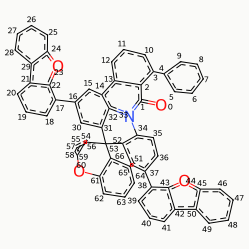 O=c1c2c(-c3ccccc3)cccc2c2cc(-c3cccc4c3oc3ccccc34)cc3c2n1-c1ccc(-c2cccc4c2oc2ccccc24)cc1C31c2ccccc2Oc2ccccc21